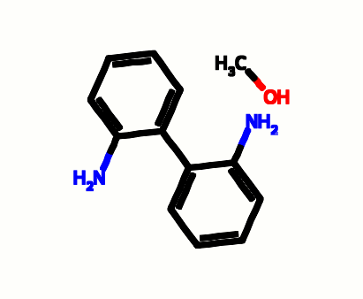 CO.Nc1ccccc1-c1ccccc1N